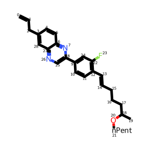 C=CCc1ccc2nc(-c3ccc(/C=C/CCCC(C)OCCCCC)c(F)c3)cnc2c1